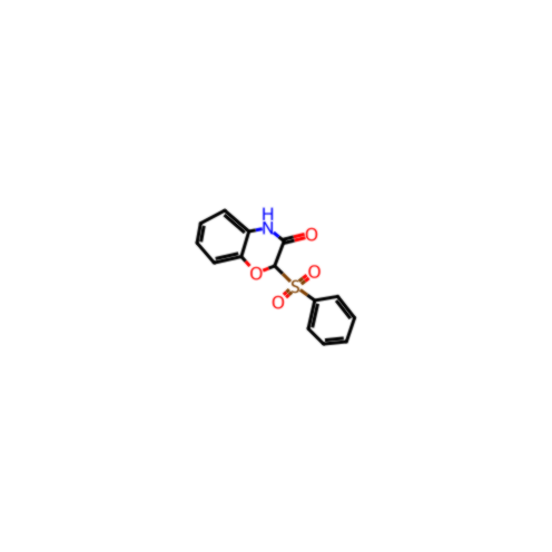 O=C1Nc2ccccc2OC1S(=O)(=O)c1ccccc1